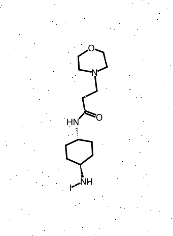 O=C(CCN1CCOCC1)N[C@H]1CC[C@H](NI)CC1